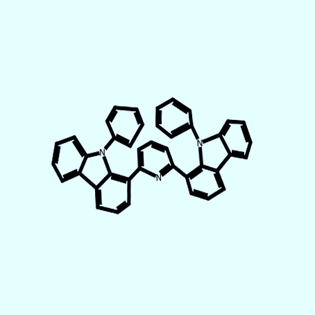 c1ccc(-n2c3ccccc3c3cccc(-c4cccc(-c5cccc6c7ccccc7n(-c7ccccc7)c56)n4)c32)cc1